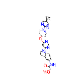 CCc1cnc(N2CCC(Oc3cc(N4CCc5cc(NC(=O)CO)ccc54)ncn3)CC2)nc1